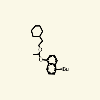 CCC(C)c1cccc2c(OC(C)OCCC3CCCCC3)cccc12